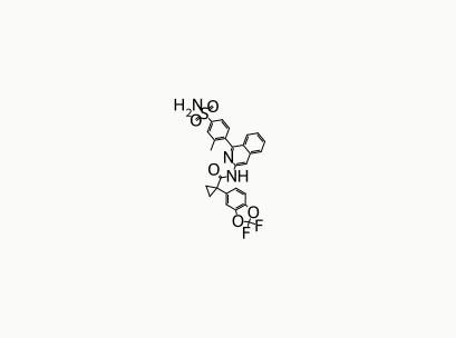 Cc1cc(S(N)(=O)=O)ccc1-c1nc(NC(=O)C2(c3ccc4c(c3)OC(F)(F)O4)CC2)cc2ccccc12